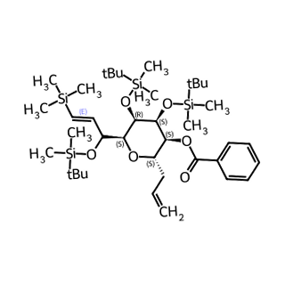 C=CC[C@@H]1O[C@@H](C(/C=C/[Si](C)(C)C)O[Si](C)(C)C(C)(C)C)[C@@H](O[Si](C)(C)C(C)(C)C)[C@@H](O[Si](C)(C)C(C)(C)C)[C@H]1OC(=O)c1ccccc1